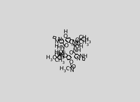 CC(C)(C)OC(=O)N1Cc2cc(O)ccc2C[C@H]1[C@H](O)CNC(=O)c1ccnc(NC2CCC2)c1.Cc1ncoc1COc1ccc2c(c1)CN(C(=O)OC(C)(C)C)[C@H]([C@H](O)CNC(=O)c1ccnc(NC3CCC3)c1)C2